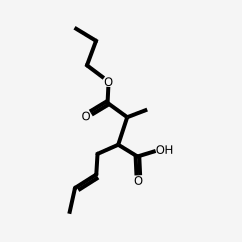 CC=CCC(C(=O)O)C(C)C(=O)OCCC